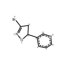 BrC1=NOC(c2cccnc2)C1